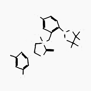 C[C@H]1[C@@H](c2cc(C(F)(F)F)cc(C(F)(F)F)c2)OC(=O)[N+]1(C)Cc1cc(C(F)(F)F)ccc1B1OC(C)(C)C(C)(C)O1